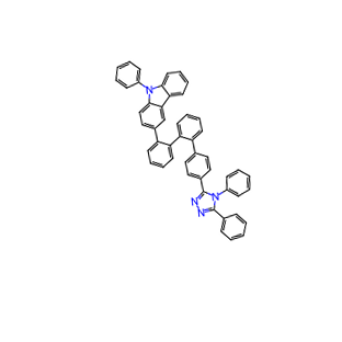 c1ccc(-c2nnc(-c3ccc(-c4ccccc4-c4ccccc4-c4ccc5c(c4)c4ccccc4n5-c4ccccc4)cc3)n2-c2ccccc2)cc1